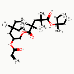 C=CC(=O)OC(COC(=O)C(C)(C)CC(C)(C)C(=O)OC(C)(CC)CC)CC(C)(CC)CC